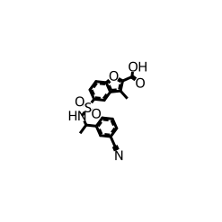 Cc1c(C(=O)O)oc2ccc(S(=O)(=O)NC(C)c3cccc(C#N)c3)cc12